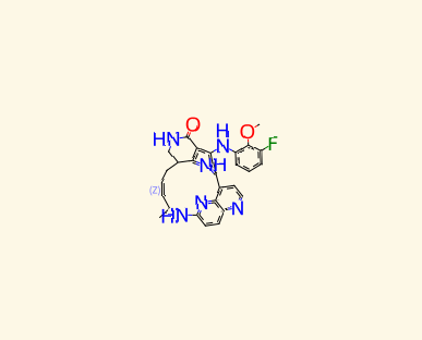 COc1c(F)cccc1Nc1c2[nH]c3c1C(=O)NCC3C/C=C\C(C)Nc1ccc3nccc-2c3n1